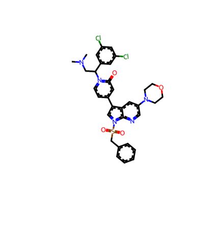 CN(C)CC(c1cc(Cl)cc(Cl)c1)n1ccc(-c2cn(S(=O)(=O)Cc3ccccc3)c3ncc(N4CCOCC4)cc23)cc1=O